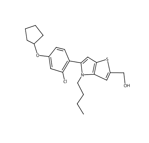 CCCCn1c(-c2ccc(OC3CCCC3)cc2Cl)cc2sc(CO)cc21